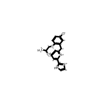 CC(C)COc1ccc(Cl)cc1Cc1cccc(-c2ncc[nH]2)n1